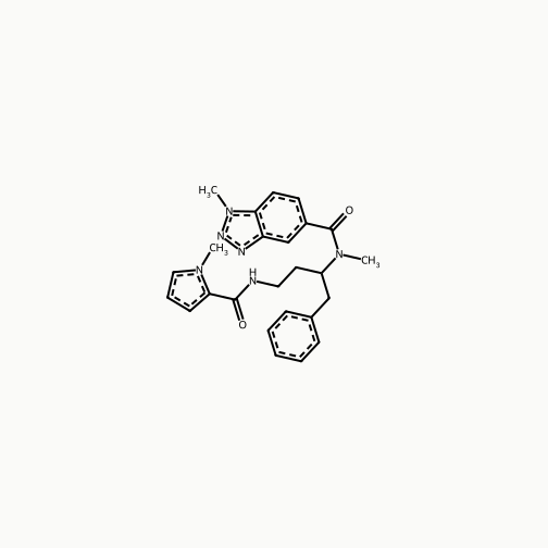 CN(C(=O)c1ccc2c(c1)nnn2C)C(CCNC(=O)c1cccn1C)Cc1ccccc1